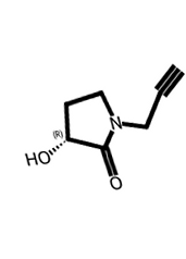 C#CCN1CC[C@@H](O)C1=O